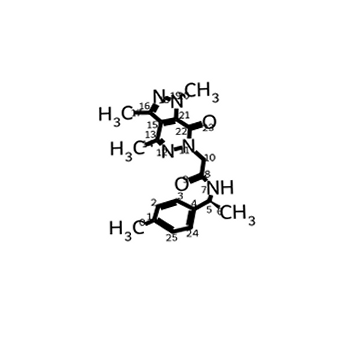 Cc1ccc([C@H](C)NC(=O)Cn2nc(C)c3c(C)nn(C)c3c2=O)cc1